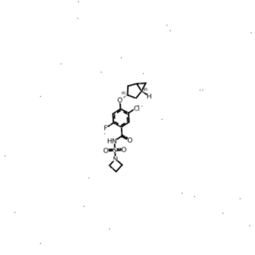 O=C(NS(=O)(=O)N1CCC1)c1cc(Cl)c(O[C@@H]2CC3C[C@@H]3C2)cc1F